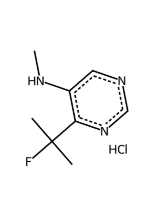 CNc1cncnc1C(C)(C)F.Cl